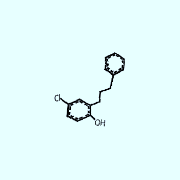 Oc1ccc(Cl)cc1CCCc1ccccc1